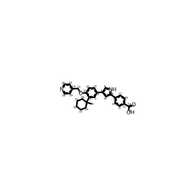 CC1(c2cc(-c3c[nH]c(-c4ccc(C(=O)O)cc4)c3)ccc2OCc2ccncc2)CCCCC1